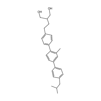 Cc1cc(-c2ccc(CC(C)C)cc2)ccc1-c1ccc(CCC(CO)CO)cc1